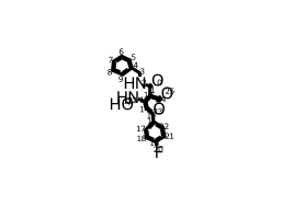 O=C(NCc1ccccc1)c1c(NO)cc(-c2ccc(F)cc2)oc1=O